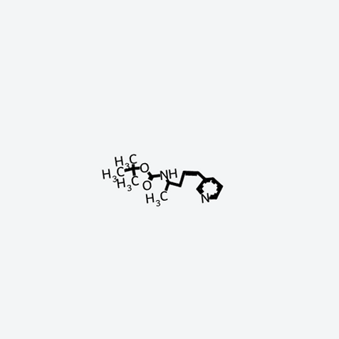 CC(C/C=C\c1cccnc1)NC(=O)OC(C)(C)C